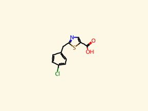 O=C(O)c1cnc(Cc2ccc(Cl)cc2)s1